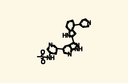 CS(=O)(=O)Nc1cncc(-c2cnc3[nH]nc(-c4cc5c(-c6ccncc6)cccc5[nH]4)c3c2)c1